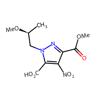 COC(=O)c1nn(C[C@H](C)OC)c(C(=O)O)c1[N+](=O)[O-]